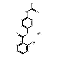 CC(=O)Nc1ccc(OC(=O)c2ccccc2O)cc1.[AlH3]